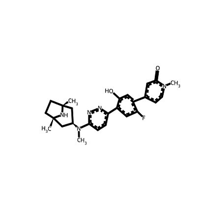 CN(c1ccc(-c2cc(F)c(-c3ccn(C)c(=O)c3)cc2O)nn1)[C@H]1C[C@]2(C)CC[C@](C)(C1)N2